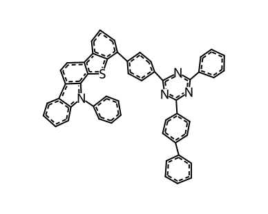 c1ccc(-c2ccc(-c3nc(-c4ccccc4)nc(-c4ccc(-c5cccc6c5sc5c6ccc6c7ccccc7n(-c7ccccc7)c65)cc4)n3)cc2)cc1